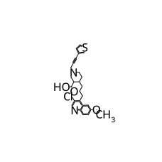 COc1ccc2ncc(Cl)c(CCCC3CCN(CC#Cc4ccsc4)CC3C(=O)O)c2c1